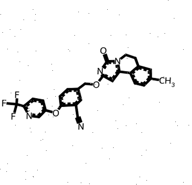 Cc1ccc2c(c1)CCn1c-2cc(OCc2ccc(Oc3ccc(C(F)(F)F)nc3)c(C#N)c2)nc1=O